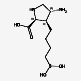 N[C@H]1CN[C@H](C(=O)O)[C@@H]1CCCCB(O)O